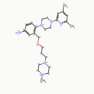 Cc1cc(C)nc(N2CCN(c3ccc(N)cc3COCCCN3CCN(C)CC3)CC2)c1